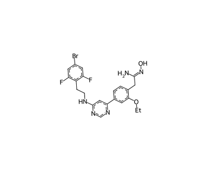 CCOc1cc(-c2cc(NCCc3c(F)cc(Br)cc3F)ncn2)ccc1C/C(N)=N/O